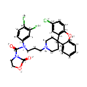 O=C1OCCN1C(=O)N(CCCN1CCC2(CC1)c1ccccc1Oc1ccc(Cl)cc12)c1ccc(F)c(F)c1